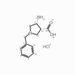 Cl.N[C@H]1CN(Cc2ccccc2)C[C@H]1C(=O)O